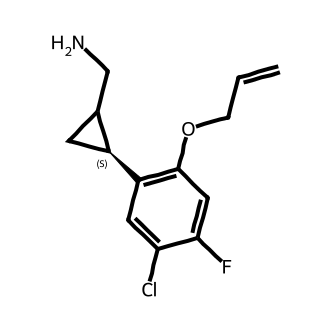 C=CCOc1cc(F)c(Cl)cc1[C@H]1CC1CN